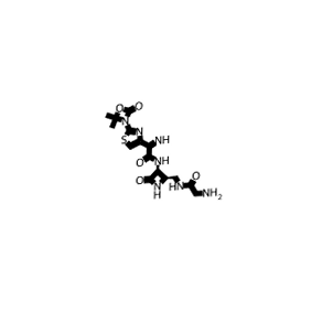 CC1(C)OC(=O)N1c1nc(C(=N)C(=O)N[C@@H]2C(=O)N[C@@H]2CNC(=O)CN)cs1